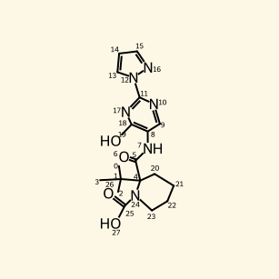 CC(C)(C)C1(C(=O)Nc2cnc(-n3cccn3)nc2O)CCCCN1C(=O)O